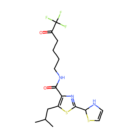 CC(C)Cc1sc(C2NC=CS2)nc1C(=O)NCCCCC(=O)C(F)(F)F